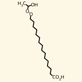 CC(O)OOCCCCCCCCCCCCCCCC(=O)O